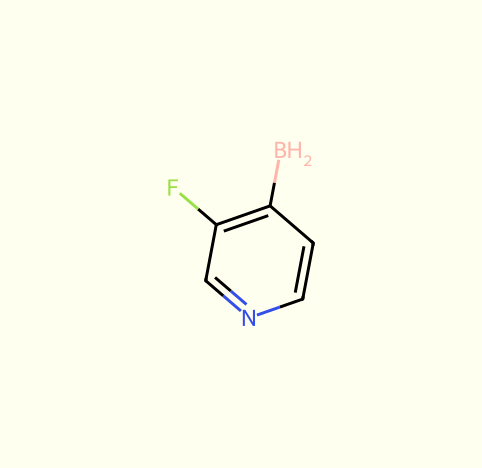 Bc1ccncc1F